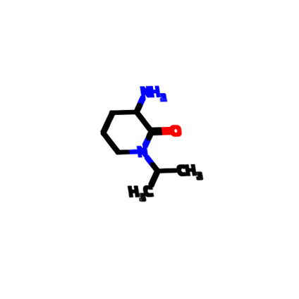 CC(C)N1CCCC(N)C1=O